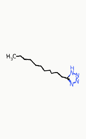 CCCCCCCCCCCc1nnn[nH]1